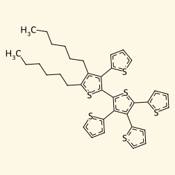 CCCCCCc1sc(-c2sc(-c3cccs3)c(-c3cccs3)c2-c2cccs2)c(-c2cccs2)c1CCCCCC